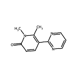 Cc1c(-c2ncccn2)ccc(=O)n1C